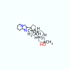 C[C@@]1(O)CC[C@H]2[C@@H](CC[C@@H]3[C@@H]2CC[C@]2(C)[C@@H](c4cn5ccccc5n4)CC[C@@H]32)C1